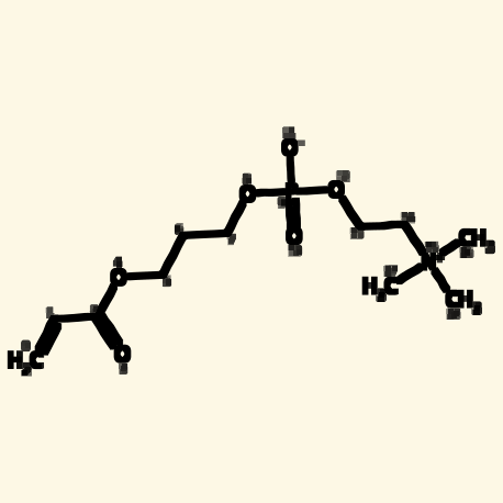 C=CC(=O)OCCCOP(=O)([O-])OCC[N+](C)(C)C